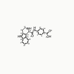 O=C(O)c1ccc(NC(=O)C2NCCc3[nH]c4ccccc4c32)cc1